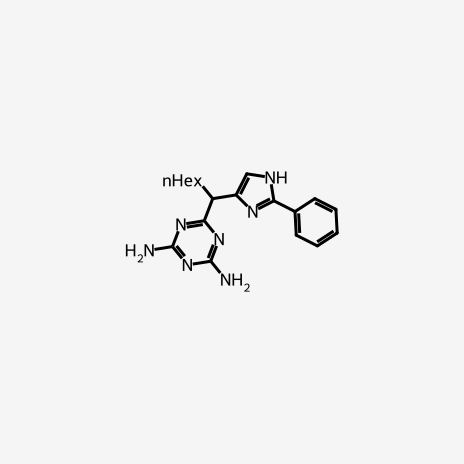 CCCCCCC(c1c[nH]c(-c2ccccc2)n1)c1nc(N)nc(N)n1